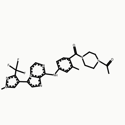 CC(=O)N1CCN(C(=O)c2ccc(Nc3nccn4c(-c5cn(C)nc5C(F)(F)F)cnc34)cc2C)CC1